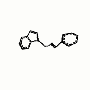 C1=Cc2ccccc2[C]1C/C=C/c1ccccc1